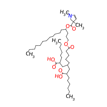 CCCCCCCCCCCCC(CCCOC(=O)CCCCC(CC(CCCCCC)C(=O)O)CC(CCCCCC)C(=O)O)OC(=O)C1(C)C=CN(C)C1